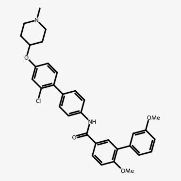 COc1cccc(-c2cc(C(=O)Nc3ccc(-c4ccc(OC5CCN(C)CC5)cc4Cl)cc3)ccc2OC)c1